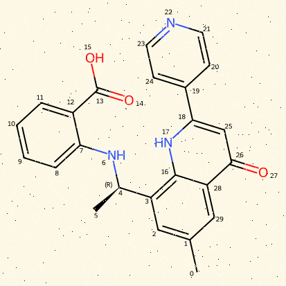 Cc1cc([C@@H](C)Nc2ccccc2C(=O)O)c2[nH]c(-c3ccncc3)cc(=O)c2c1